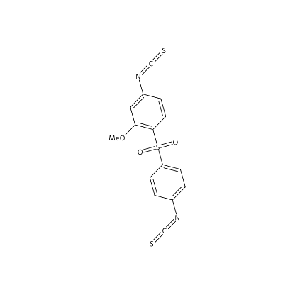 COc1cc(N=C=S)ccc1S(=O)(=O)c1ccc(N=C=S)cc1